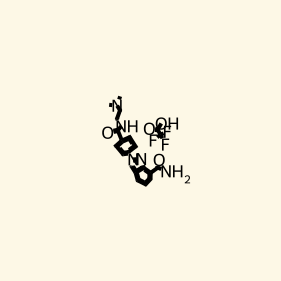 CN(C)CCNC(=O)c1ccc(-n2cc3cccc(C(N)=O)c3n2)cc1.O=C(O)C(F)(F)F